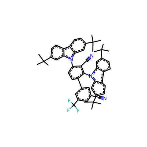 CC(C)(C)c1ccc2c3ccc(C(C)(C)C)cc3n(-c3ccc(-c4cc(C#N)cc(C(F)(F)F)c4)c(-n4c5cc(C(C)(C)C)ccc5c5ccc(C(C)(C)C)cc54)c3C#N)c2c1